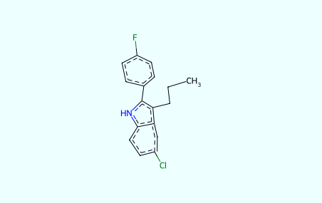 CCCc1c(-c2ccc(F)cc2)[nH]c2ccc(Cl)cc12